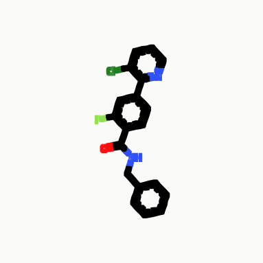 O=C(NCc1ccccc1)c1ccc(-c2ncccc2Cl)cc1F